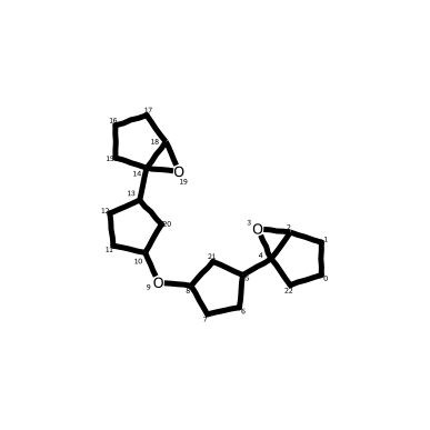 C1CC2OC2(C2CCC(OC3CCC(C45CCCC4O5)C3)C2)C1